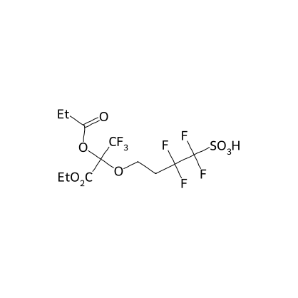 CCOC(=O)C(OCCC(F)(F)C(F)(F)S(=O)(=O)O)(OC(=O)CC)C(F)(F)F